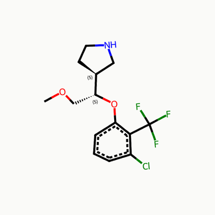 COC[C@@H](Oc1cccc(Cl)c1C(F)(F)F)[C@H]1CCNC1